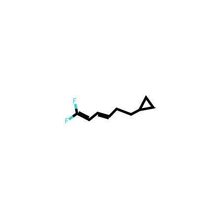 FC(F)=CC=CCCC1[CH]C1